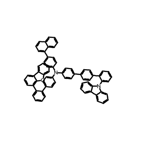 c1ccc(-c2cccc3c2oc2ccccc23)c(-c2ccc(N(c3ccc(-c4ccc(-c5ccccc5-n5c6ccccc6c6ccccc65)cc4)cc3)c3ccc(-c4cccc5ccccc45)cc3)cc2)c1